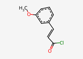 COc1cccc(C=CC(=O)Cl)c1